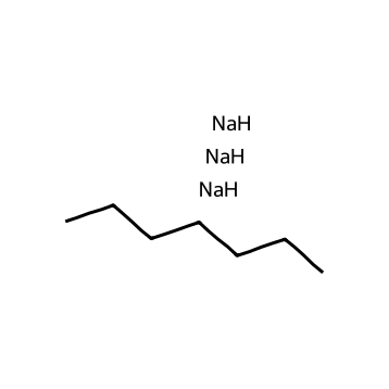 CCCCCCC.[NaH].[NaH].[NaH]